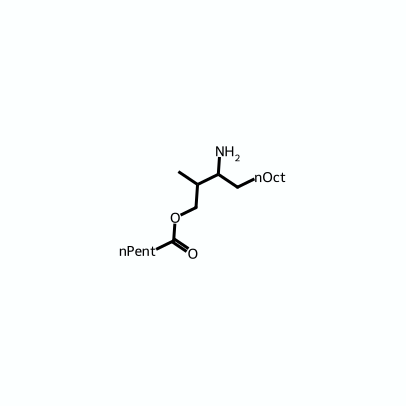 CCCCCCCCCC(N)C(C)COC(=O)CCCCC